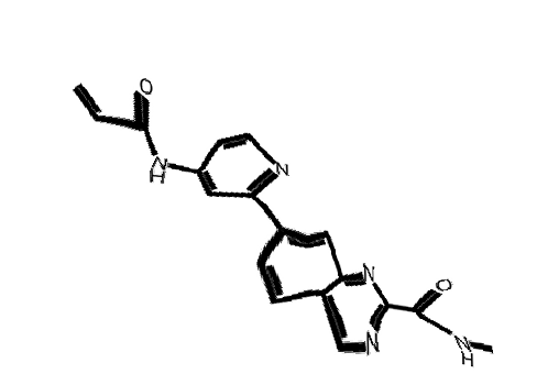 C=CC(=O)Nc1ccnc(-c2ccc3cnc(C(=O)NC)nc3c2)c1